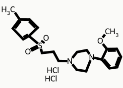 COc1ccccc1N1CCN(CCCS(=O)(=O)c2ccc(C)cc2)CC1.Cl.Cl